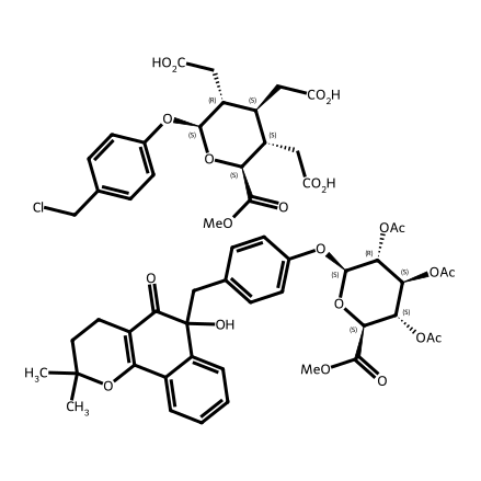 COC(=O)[C@H]1O[C@@H](Oc2ccc(CC3(O)C(=O)C4=C(OC(C)(C)CC4)c4ccccc43)cc2)[C@H](OC(C)=O)[C@@H](OC(C)=O)[C@@H]1OC(C)=O.COC(=O)[C@H]1O[C@@H](Oc2ccc(CCl)cc2)[C@H](CC(=O)O)[C@@H](CC(=O)O)[C@@H]1CC(=O)O